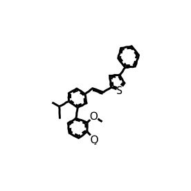 COc1cccc(-c2cc(C=Cc3cc(-c4ccccc4)cs3)ccc2C(C)C)c1OC